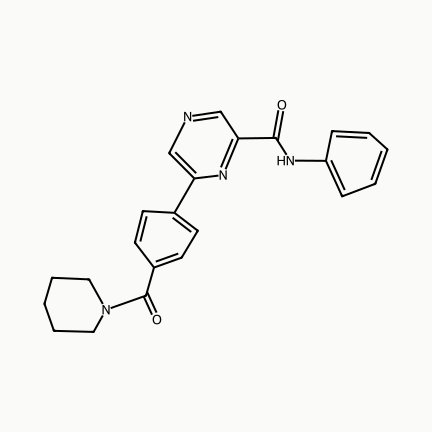 O=C(Nc1ccccc1)c1cncc(-c2ccc(C(=O)N3CCCCC3)cc2)n1